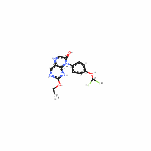 O=c1cnc2cnc(OCC(F)(F)F)nc2n1-c1ccc(OC(F)F)cc1